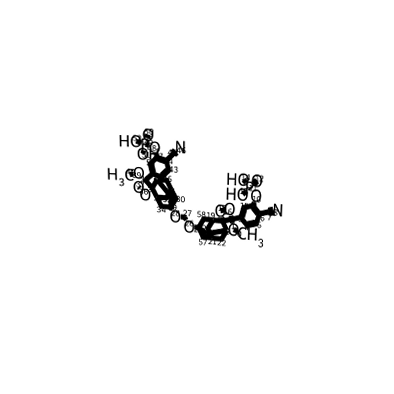 COC1(c2ccc(C#N)c(OP(=O)(O)O)c2)OOC12C1CC3CC2CC(OCOC24CC5CC(C2)C2(OOC2(OC)c2ccc(C#N)c(OP(=O)(O)O)c2)C(C5)C4)(C3)C1